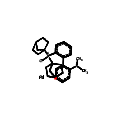 CN(C)c1ccccc1-c1ccccc1[PH](Cl)(C12CCC(CC1)C2)C12CCC(CC1)C2.[Pd]